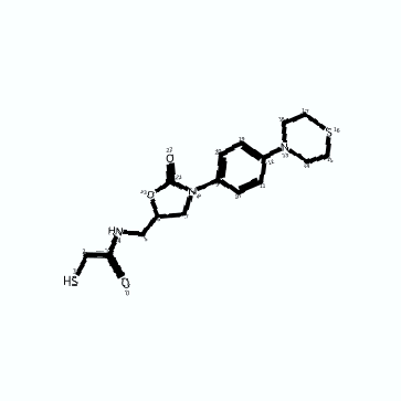 O=C(CS)NCC1CN(c2ccc(N3CCSCC3)cc2)C(=O)O1